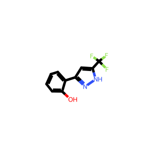 Oc1ccccc1-c1cc(C(F)(F)F)[nH]n1